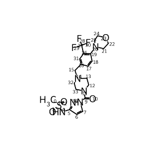 CS(=O)(=O)Nc1ccn(C(=O)N2CCN(Cc3ccc(N4CCOCC4)c(C(F)(F)F)c3)CC2)n1